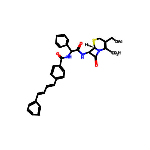 CC(=O)OCC1=C(C(=O)O)N2C(=O)[C@@H](NC(=O)C(NC(=O)c3ccc(C=CC=Cc4ccccc4)cc3)c3ccccc3)[C@H]2SC1